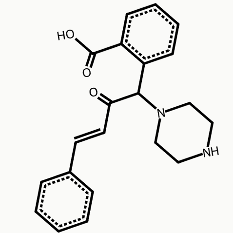 O=C(O)c1ccccc1C(C(=O)C=Cc1ccccc1)N1CCNCC1